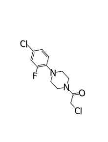 O=C(CCl)N1CCN(c2ccc(Cl)cc2F)CC1